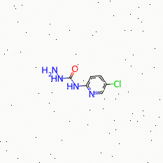 NNC(=O)Nc1ccc(Cl)cn1